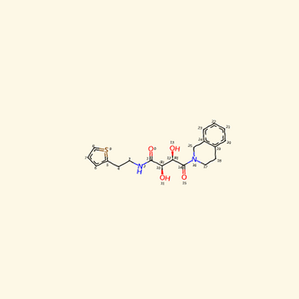 O=C(NCCc1cccs1)[C@H](O)[C@@H](O)C(=O)N1CCc2ccccc2C1